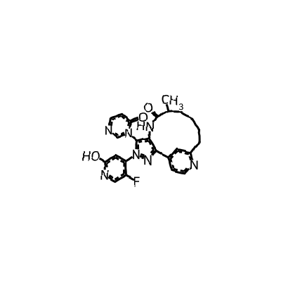 CC1CCCCc2cc(ccn2)-c2nn(-c3cc(O)ncc3F)c(-n3cnccc3=O)c2NC1=O